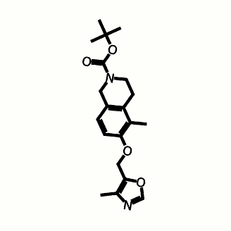 Cc1ncoc1COc1ccc2c(c1C)CCN(C(=O)OC(C)(C)C)C2